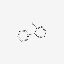 Ic1ncccc1-c1ccccc1